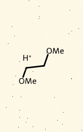 COCCOC.[H+]